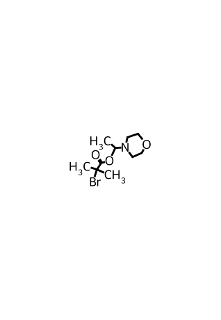 CC(OC(=O)C(C)(C)Br)N1CCOCC1